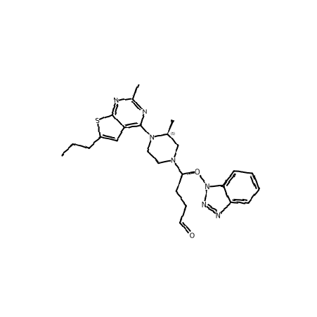 CCCc1cc2c(N3CCN(C(CCC=O)On4nnc5ccccc54)C[C@@H]3C)nc(C)nc2s1